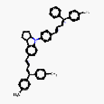 Cc1ccc(C(=C/C=C/c2ccc3c(c2)C2CCCC2N3c2ccc(/C=C/C=C(\c3ccccc3)c3ccc(C)cc3)cc2)c2ccc(C)cc2)cc1